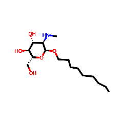 CCCCCCCCCOC1O[C@H](CO)[C@@H](O)[C@H](O)[C@H]1NC